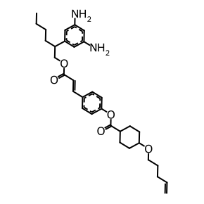 C=CCCCOC1CCC(C(=O)Oc2ccc(/C=C/C(=O)OCC(CCCC)c3cc(N)cc(N)c3)cc2)CC1